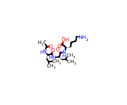 CC(=O)N[C@@H](CC(C)C)C(=O)N[C@@H](CC(C)C)C(=O)N[C@@H](CCCCN)C(=O)O